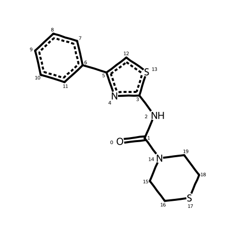 O=C(Nc1nc(-c2ccccc2)cs1)N1CCSCC1